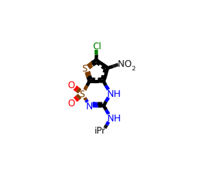 CC(C)NC1=NS(=O)(=O)c2sc(Cl)c([N+](=O)[O-])c2N1